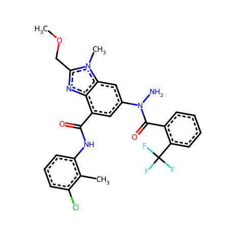 COCc1nc2c(C(=O)Nc3cccc(Cl)c3C)cc(N(N)C(=O)c3ccccc3C(F)(F)F)cc2n1C